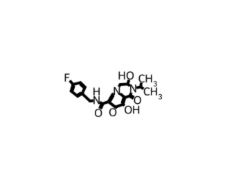 CC(C)N1C(=O)c2c(O)c(=O)c(C(=O)NCc3ccc(F)cc3)cn2CC1O